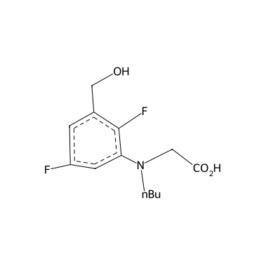 CCCCN(CC(=O)O)c1cc(F)cc(CO)c1F